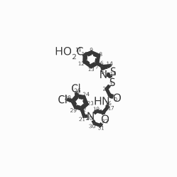 O=C(CSc1nc(-c2ccc(C(=O)O)cc2)cs1)NCC1CN(Cc2ccc(Cl)c(Cl)c2)CCO1